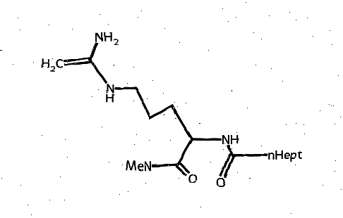 C=C(N)NCCCC(NC(=O)CCCCCCC)C(=O)NC